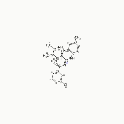 Cc1ccc(N/C(=N/C(=O)c2cccc(Cl)c2)NC(N)C(C)C(N)C(F)(F)F)c(Cl)c1